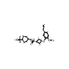 C=CCc1ccc(OC)c(O[C@H]2C[C@H](C(=O)NC3CCC(C(C)(C)O)CC3)C2)c1